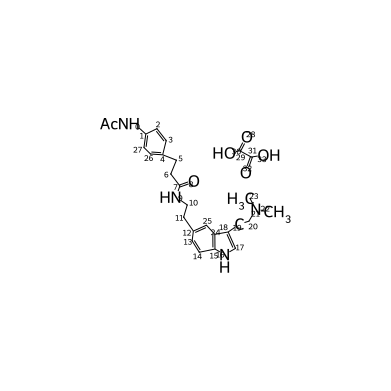 CC(=O)Nc1ccc(CCC(=O)NCCc2ccc3[nH]cc(CCN(C)C)c3c2)cc1.O=C(O)C(=O)O